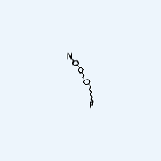 N#Cc1ccc([C@H]2CC[C@H](CC[C@H]3CC[C@H](CCCCC/C=C/F)CC3)CC2)cc1